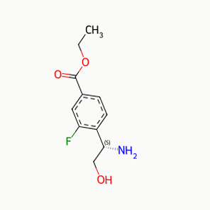 CCOC(=O)c1ccc([C@H](N)CO)c(F)c1